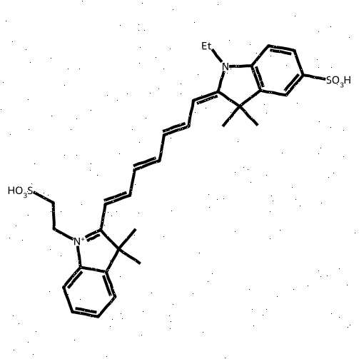 CCN1/C(=C/C=C/C=C/C=C/C2=[N+](CCS(=O)(=O)O)c3ccccc3C2(C)C)C(C)(C)c2cc(S(=O)(=O)O)ccc21